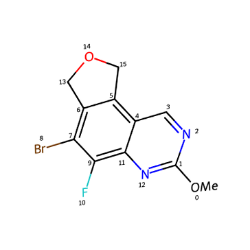 COc1ncc2c3c(c(Br)c(F)c2n1)COC3